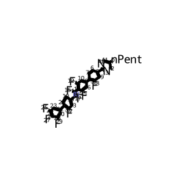 CCCCCc1cnc(-c2ccc(-c3cc(F)c(/C(F)=C(\F)c4ccc(-c5cc(F)c(F)c(F)c5)c(F)c4)c(F)c3)c(F)c2)nc1